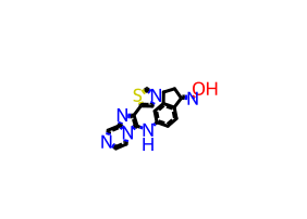 O/N=C1\CCc2cc(Nc3c(-c4cncs4)nc4cnccn34)ccc21